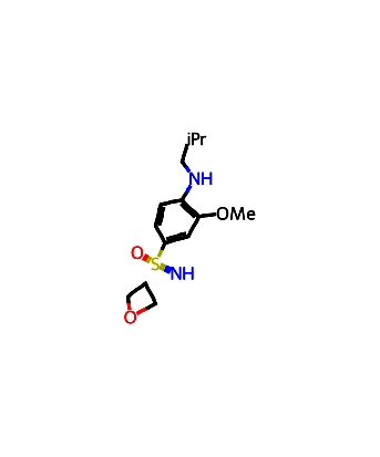 COc1cc([S@](=N)(=O)C2COC2)ccc1NCC(C)C